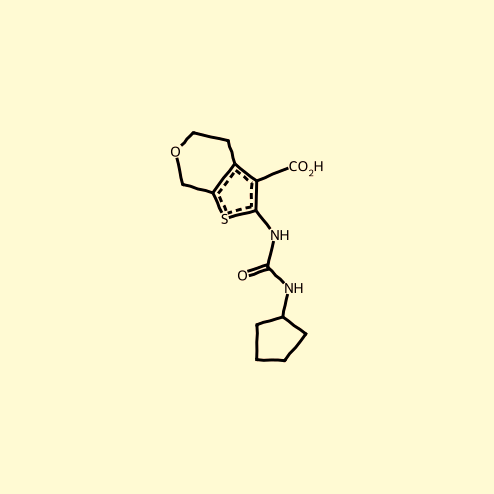 O=C(Nc1sc2c(c1C(=O)O)CCOC2)NC1CCCC1